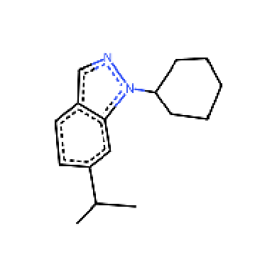 CC(C)c1ccc2cnn(C3CCCCC3)c2c1